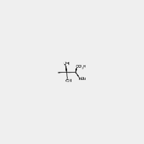 CCCCC(C(=O)O)C(C)(O)O